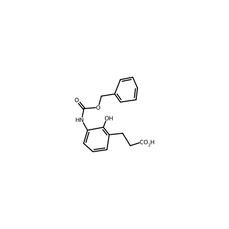 O=C(O)CCc1cccc(NC(=O)OCc2ccccc2)c1O